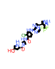 O=C(NC1CN(C(=O)[C@@H]2C[C@@H](O)CN2)C1)c1ccc(Nc2nccn3c(-c4c[nH]nc4C(F)(F)F)cnc23)cc1Cl